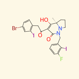 C[C@]12CCCN1N(Cc1cccc(F)c1I)C(=O)C(C(=O)Cc1ccc(Br)cc1I)=C2O